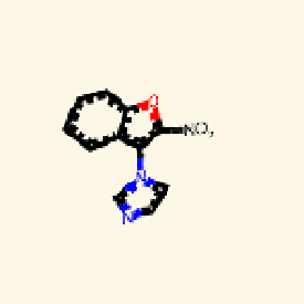 O=[N+]([O-])c1oc2ccccc2c1-n1ccnc1